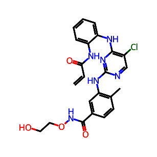 C=CC(=O)Nc1ccccc1Nc1nc(Nc2cc(C(=O)NOCCO)ccc2C)ncc1Cl